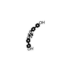 Oc1ccc(-c2ccc(Oc3ncnc(Oc4ccc(-c5ccc(O)cc5)cc4)n3)cc2)cc1